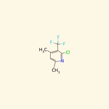 Cc1cc(C)c(C(F)(F)F)c(Cl)n1